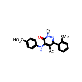 CCn1nc(-c2ccccc2SC)c(C(C)=O)c(Nc2ccc(C(=O)O)cc2)c1=O